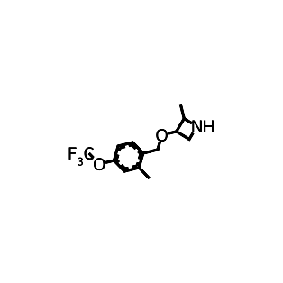 Cc1cc(OC(F)(F)F)ccc1COC1CNC1C